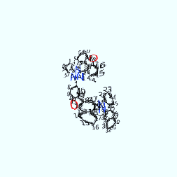 c1ccc(-c2nc(-c3ccc4oc5c6ccccc6c(-n6c7ccccc7c7cc8ccccc8cc76)cc5c4c3)nc(-c3cccc4oc5ccccc5c34)n2)cc1